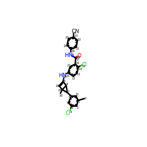 Cc1cc(Cl)cc(C2C3C(Nc4ccc(Cl)c(C(=O)Nc5ccc(C#N)cc5)c4)=CC32C)c1